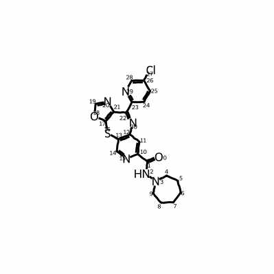 O=C(NN1CCCCCC1)c1cc2c(cn1)Sc1ocnc1C(c1ccc(Cl)cn1)=N2